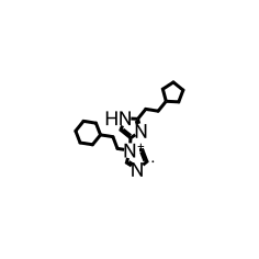 [C]1=C[N+](CCC2CCCCC2)(c2c[nH]c(CCC3CCCC3)n2)C=N1